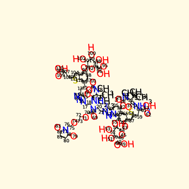 CC(C)[C@@H](C(N)=O)N(C)C(=O)OC(Cc1cn(CCN(CCn2cc(CC(OC(=O)N(C)[C@H](C(N)=O)C(C)C)c3ccc(O[C@@H]4O[C@H](C(=O)O)[C@@H](O)[C@H](O)[C@H]4O)c4cc(CCC(=O)O)sc34)nn2)C(=O)COCCOCCN2C(=O)C=CC2=O)nn1)c1ccc(O[C@@H]2O[C@H](C(=O)O)[C@@H](O)[C@H](O)[C@H]2O)c2cc(CCC(=O)O)sc12